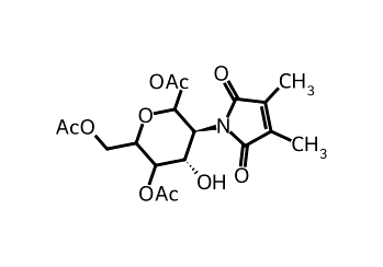 CC(=O)OCC1OC(OC(C)=O)[C@@H](N2C(=O)C(C)=C(C)C2=O)[C@H](O)C1OC(C)=O